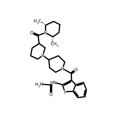 C[C@@H]1CCC[C@H](C)N1C(=O)C1CCCN(C2CCN(C(=O)c3c(NC(N)=O)sc4ccccc34)CC2)C1